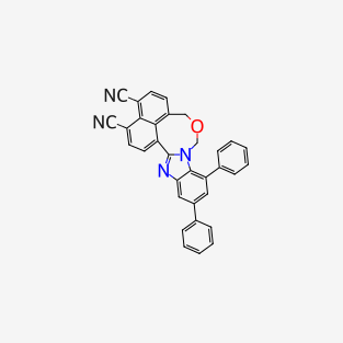 N#Cc1ccc2c3c(ccc(C#N)c13)-c1nc3cc(-c4ccccc4)cc(-c4ccccc4)c3n1COC2